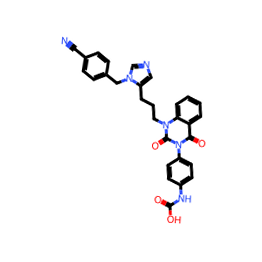 N#Cc1ccc(Cn2cncc2CCCn2c(=O)n(-c3ccc(NC(=O)O)cc3)c(=O)c3ccccc32)cc1